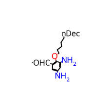 CCCCCCCCCCCCCCCOc1c(N)cc(N)cc1[C]=O